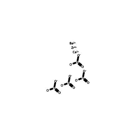 [Ba+2].[Ca+2].[O]=[Ti]([O-])[O-].[O]=[Ti]([O-])[O-].[O]=[Ti]([O-])[O-].[O]=[Ti]([O-])[O-].[Zr+4]